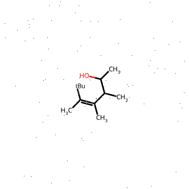 CC(=C(C)C(C)(C)C)C(C)C(C)O